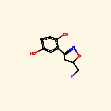 Oc1ccc(O)c(C2=NOC(CI)C2)c1